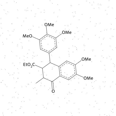 CCOC(=O)C1C(C)C(=O)c2cc(OC)c(OC)cc2C1c1cc(OC)c(OC)c(OC)c1